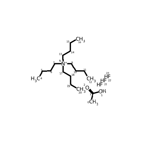 CC(=O)O.CCCC[N+](CCCC)(CCCC)CCCC.F.F.F